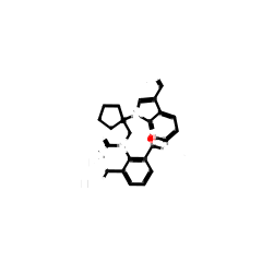 C=Cc1cn(C2(CN(C(N)=O)c3c(C(C)C)cccc3C(C)C)CCCC2)c2ncccc12